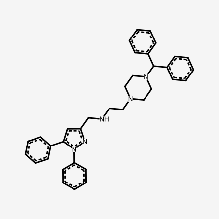 c1ccc(-c2cc(CNCCN3CCN(C(c4ccccc4)c4ccccc4)CC3)nn2-c2ccccc2)cc1